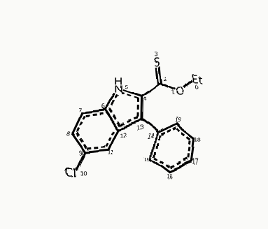 CCOC(=S)c1[nH]c2ccc(Cl)cc2c1-c1ccccc1